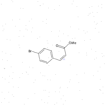 COC(=O)/C=C\c1ccc(Br)cc1